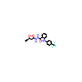 C#CC(O)CC(=O)NNC(=O)c1ccccc1Nc1ccc(C(F)(F)F)cc1